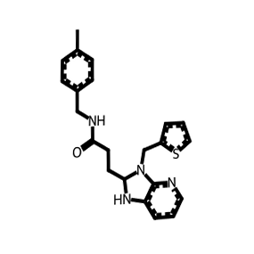 Cc1ccc(CNC(=O)CCC2Nc3cccnc3N2Cc2cccs2)cc1